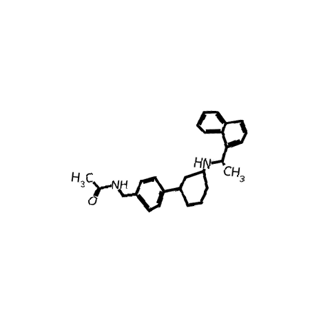 CC(=O)NCc1ccc(C2CCCC(N[C@H](C)c3cccc4ccccc34)C2)cc1